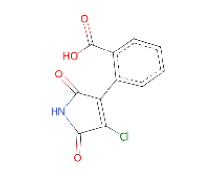 O=C1NC(=O)C(c2ccccc2C(=O)O)=C1Cl